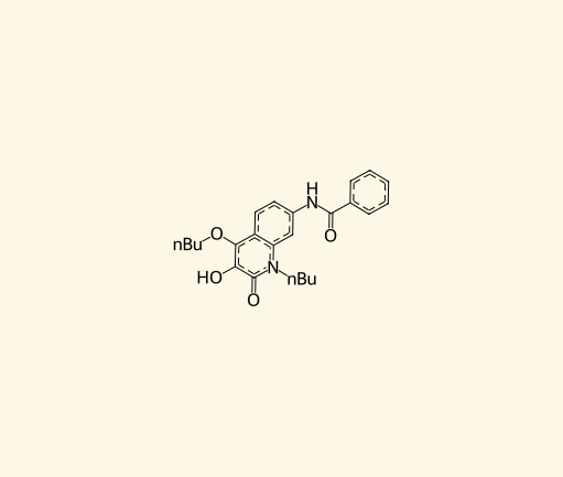 CCCCOc1c(O)c(=O)n(CCCC)c2cc(NC(=O)c3ccccc3)ccc12